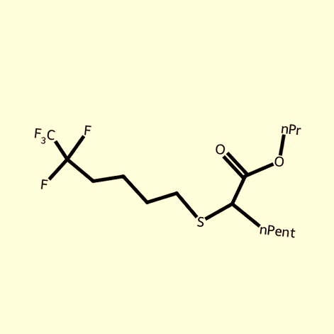 CCCCCC(SCCCCC(F)(F)C(F)(F)F)C(=O)OCCC